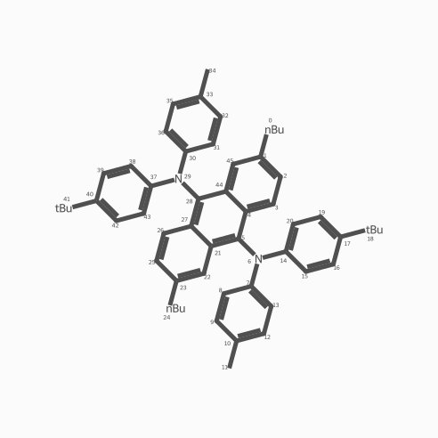 CCCCc1ccc2c(N(c3ccc(C)cc3)c3ccc(C(C)(C)C)cc3)c3cc(CCCC)ccc3c(N(c3ccc(C)cc3)c3ccc(C(C)(C)C)cc3)c2c1